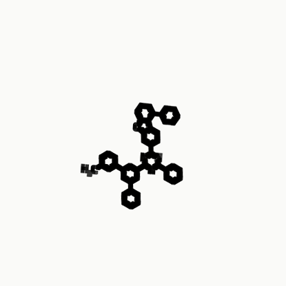 Cc1cccc(-c2cc(-c3ccccc3)cc(-c3nc(-c4ccccc4)nc(-c4ccc5c(c4)oc4cccc(-c6ccccc6)c45)n3)c2)c1